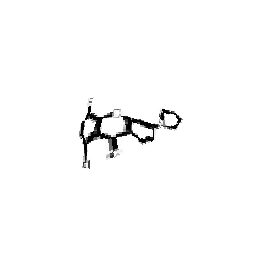 O=c1c2ccc(N3CCCC3)cc2oc2c(F)ccc(Cl)c12